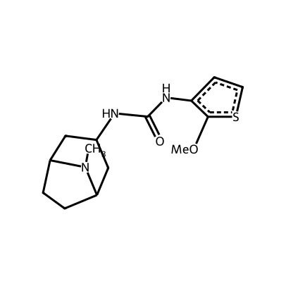 COc1sccc1NC(=O)NC1CC2CCC(C1)N2C